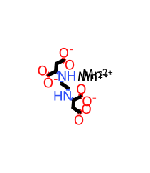 O=C([O-])CC(NCCNC(CC(=O)[O-])C(=O)[O-])C(=O)[O-].[Mn+2].[Mn+2]